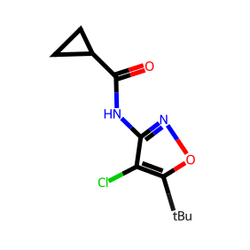 CC(C)(C)c1onc(NC(=O)C2CC2)c1Cl